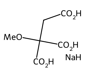 COC(CC(=O)O)(C(=O)O)C(=O)O.[NaH]